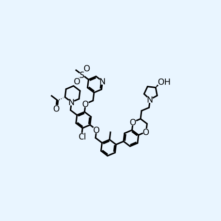 CC(=O)[C@@H]1CCCCN1Cc1cc(Cl)c(OCc2cccc(-c3ccc4c(c3)OC(CCN3CC[C@@H](O)C3)CO4)c2C)cc1OCc1cncc(S(C)(=O)=O)c1